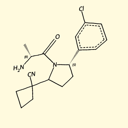 C[C@@H](N)C(=O)N1C(C2(C#N)CCC2)CC[C@H]1c1cccc(Cl)c1